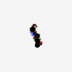 CP(C)(=O)c1ccccc1-c1cc(F)c(N2CCC[C@@H](NC(=O)Nc3ccc(OC(F)(F)F)cc3)C2=O)c(F)c1